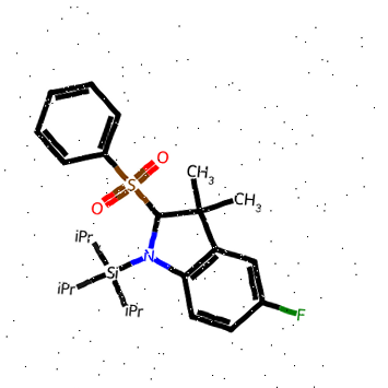 CC(C)[Si](C(C)C)(C(C)C)N1c2ccc(F)cc2C(C)(C)C1S(=O)(=O)c1ccccc1